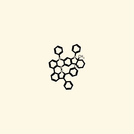 CC12CCCCC1(C)N(c1ccccc1)c1cc3c(cc12)B1c2c(cccc2N3c2ccccc2)-c2cccc3c(-c4ccccc4)c(-c4ccccc4)n1c23